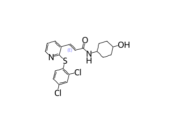 O=C(/C=C/c1cccnc1Sc1ccc(Cl)cc1Cl)NC1CCC(O)CC1